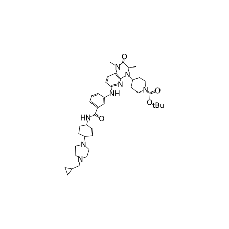 C[C@@H]1C(=O)N(C)c2ccc(Nc3cccc(C(=O)NC4CCC(N5CCN(CC6CC6)CC5)CC4)c3)nc2N1C1CCN(C(=O)OC(C)(C)C)CC1